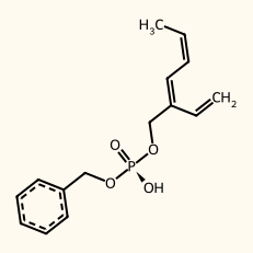 C=C/C(=C\C=C/C)CO[P@](=O)(O)OCc1ccccc1